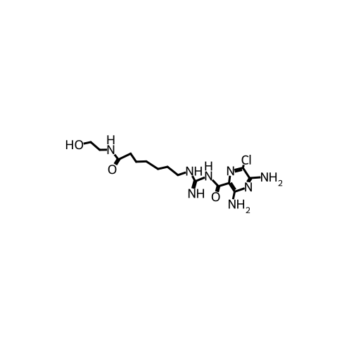 N=C(NCCCCCCC(=O)NCCO)NC(=O)c1nc(Cl)c(N)nc1N